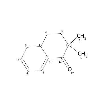 CC1(C)CCC2CC=CC=C2C1=O